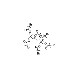 CC(C)(Br)C(=O)OCC(COCCC(COC(=O)C(C)(C)Br)(COC(=O)C(C)(C)Br)OC(=O)C(C)(C)Br)(COC(=O)C(C)(C)Br)COC(=O)C(C)(C)Br